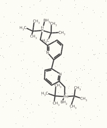 B[PH](Cc1cccc(-c2cccc(C[PH](B)(C(C)(C)C)C(C)(C)C)n2)n1)(C(C)(C)C)C(C)(C)C